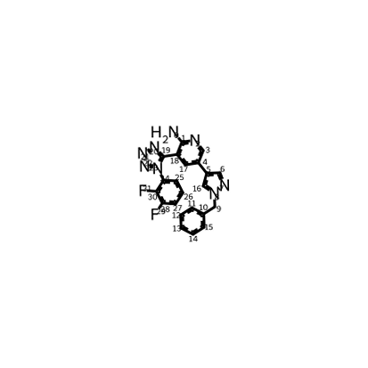 Nc1ncc(-c2cnn(Cc3ccccc3)c2)cc1-c1nnnn1-c1cccc(F)c1F